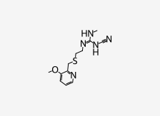 CN/C(=N/CCSCc1ncccc1OC)NC#N